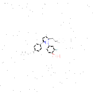 COc1ccc(-c2ccc(CCC(=O)O)n2-c2ccc(O)c(F)c2)cc1